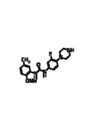 COc1ccc(C)cc1NC(=O)Nc1ccc(N2CCNCC2)c(F)c1